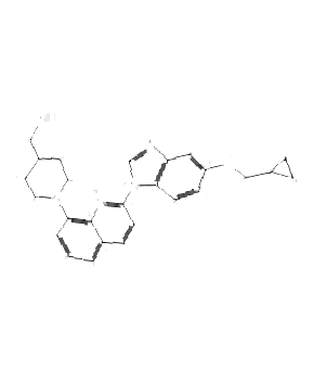 NCC1CCN(c2cccc3ccc(-n4cnc5cc(OCC6CC6)ccc54)nc23)CC1